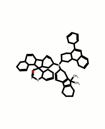 CC1(C)C2=C(C=CC(N(C3C=CC4C5C=CC6CCC=CC6C5C5(C6C=CCCC6OC6C=CCCC65)C4C3)C3CCC4C(C5C=CC=CC5)=CC5=CC=CCC5C4C3)C2)C2=C1CCCC2